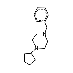 c1ccc(CN2CCN(C3CCCC3)CC2)cc1